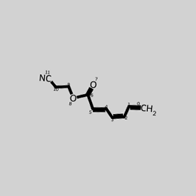 C=C/C=C\C=C\C(=O)OCCC#N